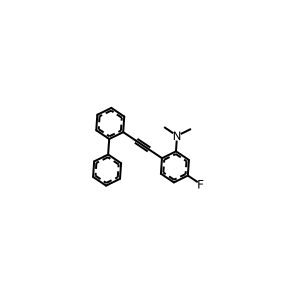 CN(C)c1cc(F)ccc1C#Cc1ccccc1-c1ccccc1